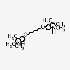 CC1=CC(C)(C)Nc2ccc(OCCCCCCCOc3ccc4c(c3)C(C)=CC(C)(C)N4)cc21